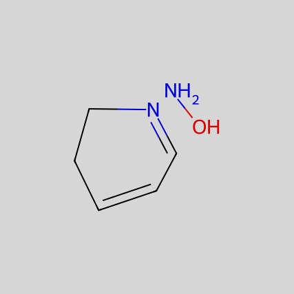 C1=CCCN=C1.NO